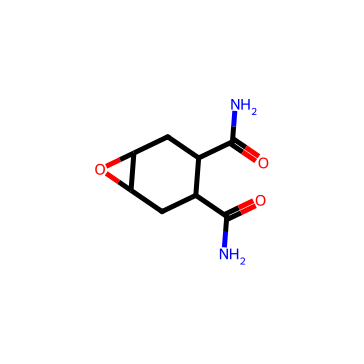 NC(=O)C1CC2OC2CC1C(N)=O